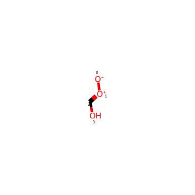 [O-][O+]=CO